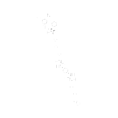 CCOCCOCCOCCNC(=O)Nc1ccc(NC(=O)NCCOCCOCCOCCNS(=O)(=O)c2cccc(C3CN(C)Cc4c(Cl)cc(Cl)cc43)c2)cc1